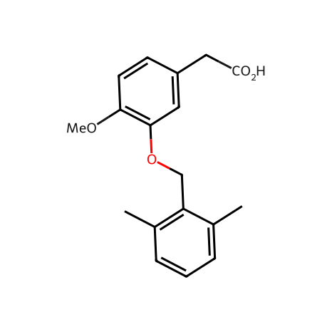 COc1ccc(CC(=O)O)cc1OCc1c(C)cccc1C